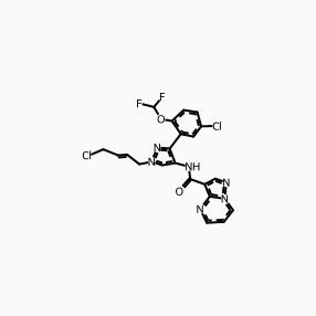 O=C(Nc1cn(CC=CCCl)nc1-c1cc(Cl)ccc1OC(F)F)c1cnn2cccnc12